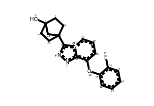 OC12CCC(c3nnc4c(Oc5ccccc5F)cccn34)(CC1)C2